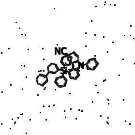 N#CC1C=Cc2c(c3c([Si](C4=CCCC(C5=CCCC=C5)=C4)(c4ccccc4)c4ccccc4)cccc3n2-c2ccccc2)C1